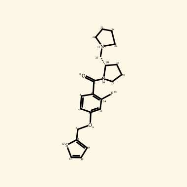 O=C(c1ccc(OCc2cccs2)cc1F)N1CCC[C@H]1CN1CCCC1